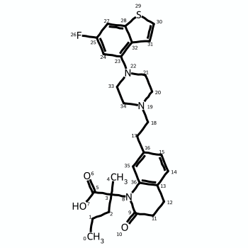 CCCC(C)(C(=O)O)N1C(=O)CCc2ccc(CCN3CCN(c4cc(F)cc5sccc45)CC3)cc21